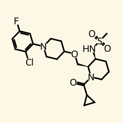 CS(=O)(=O)N[C@H]1CCCN(C(=O)C2CC2)[C@H]1COC1CCN(c2cc(F)ccc2Cl)CC1